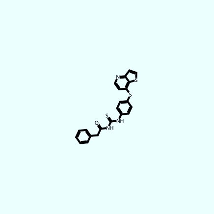 O=C(Cc1ccccc1)NC(=S)Nc1ccc(Sc2ccnc3ccsc23)cc1